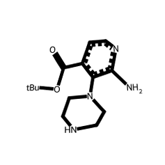 CC(C)(C)OC(=O)c1ccnc(N)c1N1CCNCC1